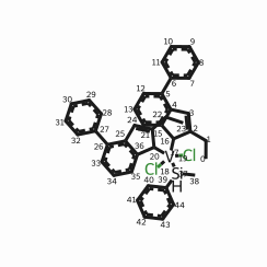 CCC1=Cc2c(-c3ccccc3)cccc2[CH]1[V]([Cl])([Cl])([CH]1C(CC)=Cc2c(-c3ccccc3)cccc21)[SiH](C)c1ccccc1